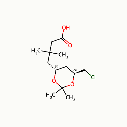 CC(C)(CC(=O)O)C[C@@H]1C[C@@H](CCl)OC(C)(C)O1